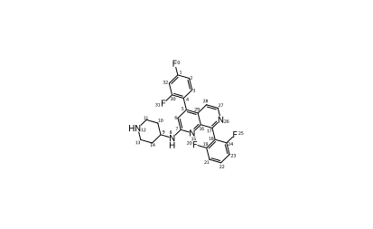 Fc1ccc(-c2cc(NC3CCNCC3)nc3c(-c4c(F)cccc4F)nccc23)c(F)c1